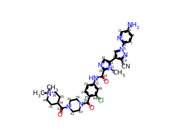 Cn1c(-c2cn(-c3ccc(N)cn3)nc2C#N)cnc1C(=O)Nc1ccc(C(=O)N2CCN(C(=O)C3CC[N+](C)(C)CC3)CC2)c(Cl)c1